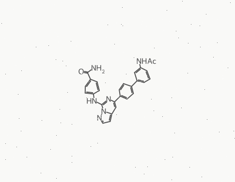 CC(=O)Nc1cccc(-c2ccc(-c3cc4ccnn4c(Nc4ccc(C(N)=O)cc4)n3)cc2)c1